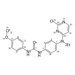 CCN(c1ccc(NC(=O)Nc2ccc(OC(F)(F)F)cc2)cc1)c1ccnc(Cl)n1